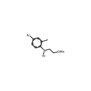 COCCN(C(C)=O)c1ccc(C(C)=O)cc1F